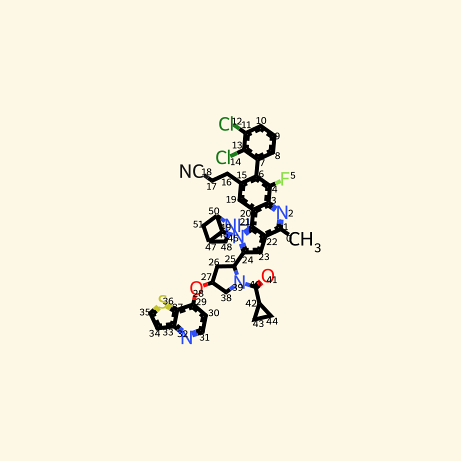 Cc1nc2c(F)c(-c3cccc(Cl)c3Cl)c(CCC#N)cc2c2c1cc(C1CC(Oc3ccnc4ccsc34)CN1C(=O)C1CC1)n2C1C2CNC1C2